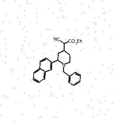 CCOC(=O)C(C#N)C1CCN(Cc2ccccc2)C(c2ccc3ccccc3c2)C1